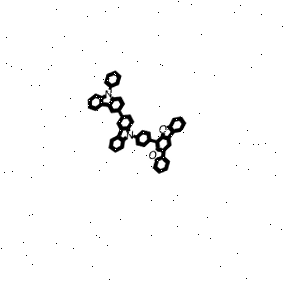 c1ccc(-n2c3ccccc3c3cc(-c4ccc5c(c4)c4ccccc4n5-c4ccc(-c5c6oc7ccccc7c6cc6c5oc5ccccc56)cc4)ccc32)cc1